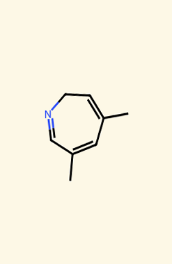 CC1=CCN=CC(C)=C1